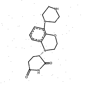 O=C1CC[C@H](N2CCOc3c(N4CCNCC4)cccc32)C(=O)N1